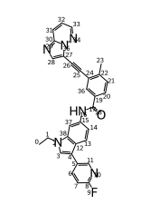 CCn1cc(-c2ccc(F)nc2)c2ccc(NC(=O)c3ccc(C)c(C#Cc4cnc5cccnn45)c3)cc21